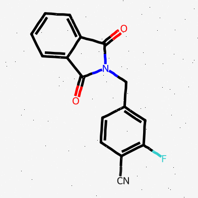 N#Cc1ccc(CN2C(=O)c3ccccc3C2=O)cc1F